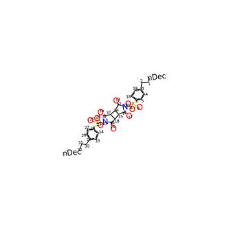 CCCCCCCCCCCCc1ccc(S(=O)(=O)ON2C(=O)C3C(C2=O)C2C(=O)N(OS(=O)(=O)c4ccc(CCCCCCCCCCCC)cc4)C(=O)C32)cc1